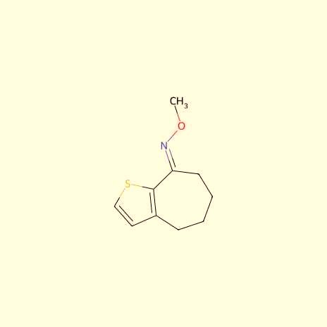 CO/N=C1\CCCCc2ccsc21